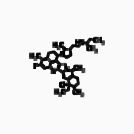 C=C(CC)NCCC1CCN(C2CCc3c(C)c(F)cc4nc5c(c2c34)CN2C(=C)C3=C(C=C52)[C@@](Cl)(CC)C(=C)CC3)C1=C